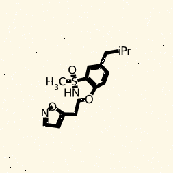 CC(C)Cc1ccc(OCCc2ccno2)c(S(C)(=N)=O)c1